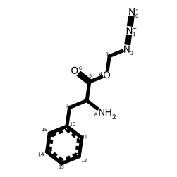 [N-]=[N+]=NCOC(=O)C(N)Cc1ccccc1